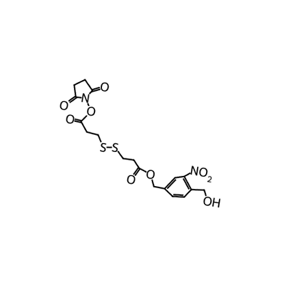 O=C(CCSSCCC(=O)ON1C(=O)CCC1=O)OCc1ccc(CO)c([N+](=O)[O-])c1